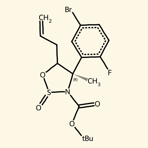 C=CCC1OS(=O)N(C(=O)OC(C)(C)C)[C@]1(C)c1cc(Br)ccc1F